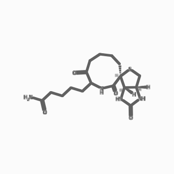 NC(=O)CCCC[C]1NC(=O)[C@@]2(CCCCC1=O)SC[C@@H]1NC(=O)N[C@@H]12